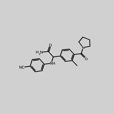 Cc1cc(C(Nc2ccc(C#N)cc2)C(N)=O)ccc1C(=O)N1CCCC1